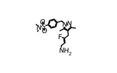 Cc1nn(Cc2ccc(S(=O)(=O)N(C)C)cc2)c(C)c1C/C(F)=C/CN